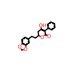 O=C1OC(CCc2ccc3c(c2)OCO3)CC(O)=C1c1ccccc1